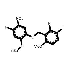 CCCCOc1cc(F)c([N+](=O)[O-])cc1OCc1c(OC)ccc(F)c1F